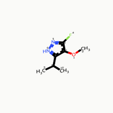 COc1c(F)n[nH]c1C(C)C